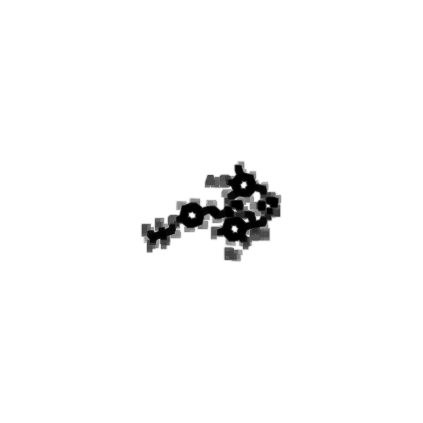 CC(=O)Oc1c(C)cc(C[n+]2cnn(C[C@](O)(Cn3cnc(C=Cc4ccc(OCC(F)(F)C(F)F)cc4)n3)c3ccc(F)cc3F)c2)cc1C.[Br-]